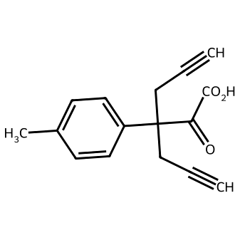 C#CCC(CC#C)(C(=O)C(=O)O)c1ccc(C)cc1